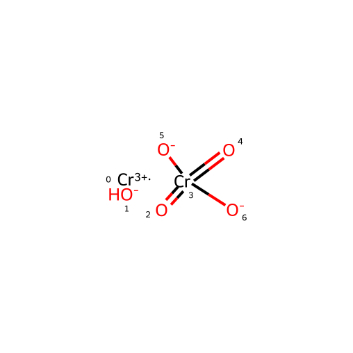 [Cr+3].[OH-].[O]=[Cr](=[O])([O-])[O-]